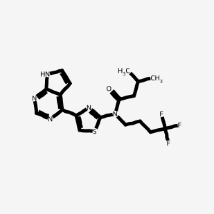 CC(C)CC(=O)N(CCCC(F)(F)F)c1nc(-c2ncnc3[nH]ccc23)cs1